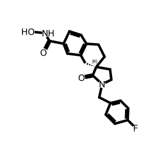 O=C(NO)c1ccc2c(c1)C[C@]1(CC2)CCN(Cc2ccc(F)cc2)C1=O